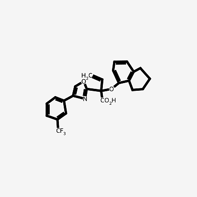 C=CC(Oc1cccc2c1CCCC2)(C(=O)O)c1nc(-c2cccc(C(F)(F)F)c2)co1